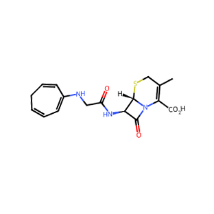 CC1=C(C(=O)O)N2C(=O)[C@@H](NC(=O)CNC3=CC=CCC=C3)[C@@H]2SC1